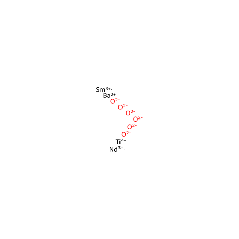 [Ba+2].[Nd+3].[O-2].[O-2].[O-2].[O-2].[O-2].[O-2].[Sm+3].[Ti+4]